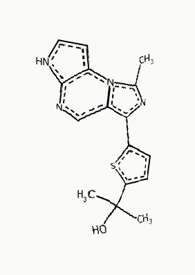 Cc1nc(-c2ccc(C(C)(C)O)s2)c2cnc3[nH]ccc3n12